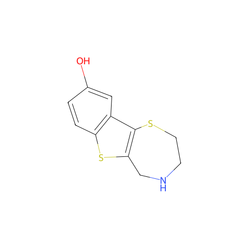 Oc1ccc2sc3c(c2c1)SCCNC3